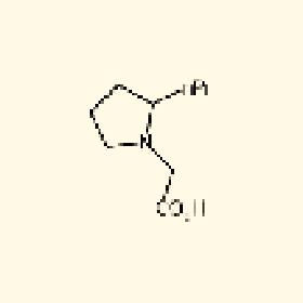 CCCC1CCCN1CC(=O)O